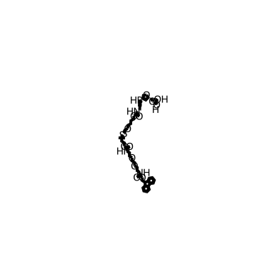 CC(C)(CCOC(=O)NCCOCCOCCNC(=O)OCC1c2ccccc2-c2ccccc21)SSCOCCCCOC(=O)NCC#CB[C@@H]1CO[C@H](CO[PH](=O)O)C1